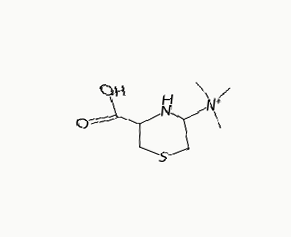 C[N+](C)(C)C1CSCC(C(=O)O)N1